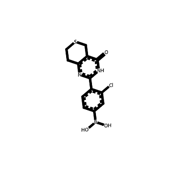 O=c1[nH]c(-c2ccc(B(O)O)cc2Cl)nc2c1CSCC2